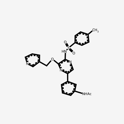 CC(=O)Nc1cccc(-c2cnc(NS(=O)(=O)c3ccc(C)cc3)c(OCc3cccnc3)n2)c1